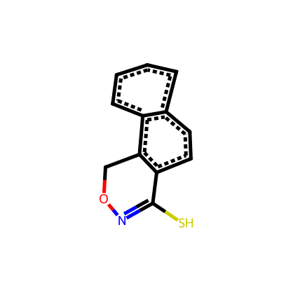 SC1=NOCc2c1ccc1ccccc21